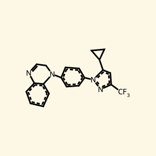 FC(F)(F)c1cc(C2CC2)n(-c2ccc(N3CC=Nc4ccccc43)cc2)n1